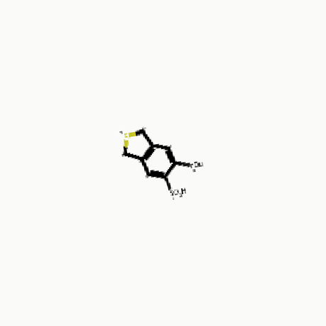 CCCCc1cc2c(cc1S(=O)(=O)O)CSC2